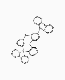 c1ccc([Si]2(c3ccccc3)c3ccccc3B3c4ccc(-n5c6ccccc6c6ccccc65)cc4Sc4cccc2c43)cc1